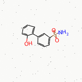 NS(=O)(=O)c1cccc(-c2cc[c]cc2O)c1